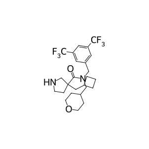 O=C(N(Cc1cc(C(F)(F)F)cc(C(F)(F)F)c1)CC1CCOCC1)C1(CC2CCC2)CCNC1